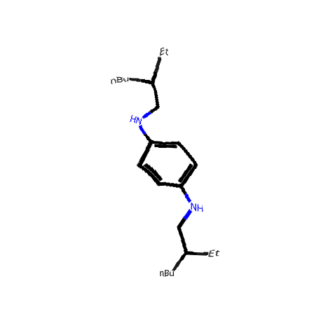 CCCCC(CC)CNc1ccc(NCC(CC)CCCC)cc1